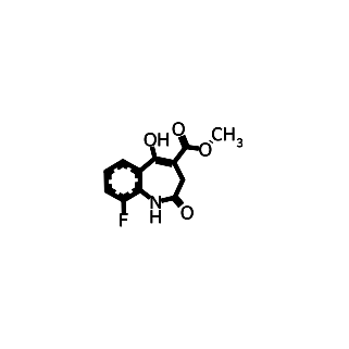 COC(=O)C1=C(O)c2cccc(F)c2NC(=O)C1